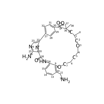 CC1COCCCCOc2c(CN)cccc2NC(=O)c2nc(cnc2N)-c2ccc(cc2)S(=O)(=O)C(C)(C)C1